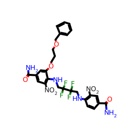 NC(=O)c1ccc(NCC(F)(F)C(F)(F)CNc2c(OCCCOCc3ccccc3)cc(C(N)=O)cc2[N+](=O)[O-])c([N+](=O)[O-])c1